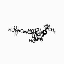 Cc1ncsc1-c1ccc(CNC(=O)[C@@H]2C[C@@H](O)CN2C(=O)[C@@H](NC(=O)COCCCOCCNC(=O)O)C(C)(C)C)cc1